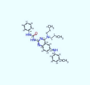 CCCN(CCC)c1nc(NC(=O)Nc2ccccc2)nc2ccc(Nc3cccc(C)c3)cc12